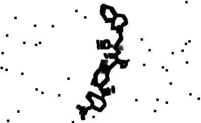 CN(C)[C@H]1CC[C@H](Nc2cc(C(=O)NC[C@H](O)CN3CCc4ccccc4C3)ncn2)CC1